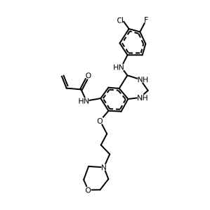 C=CC(=O)Nc1cc2c(cc1OCCCN1CCOCC1)NCNC2Nc1ccc(F)c(Cl)c1